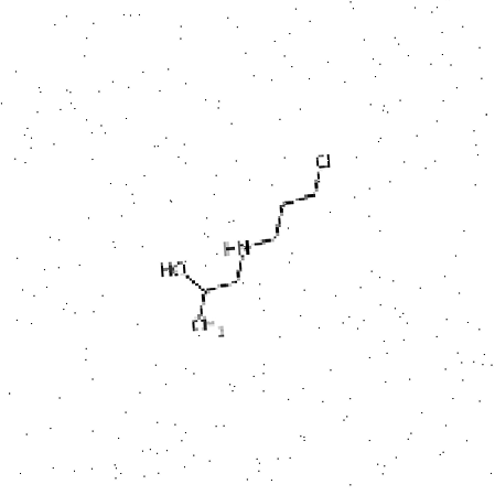 CC(O)CNCCCCl